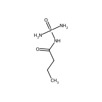 CCCC(=O)NP(N)(N)=O